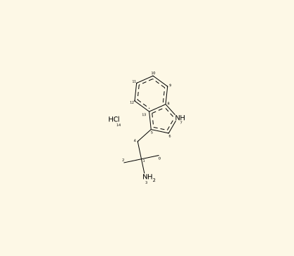 CC(C)(N)Cc1c[nH]c2ccccc12.Cl